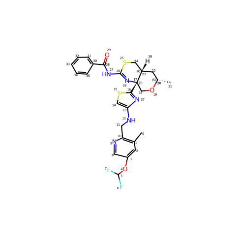 Cc1cc(OC(F)F)cnc1CNc1csc([C@]23CO[C@@H](C)C[C@H]2CSC(NC(=O)c2ccccc2)=N3)n1